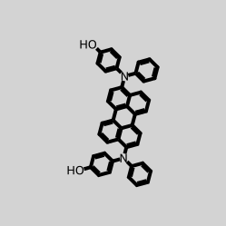 Oc1ccc(N(c2ccccc2)c2ccc3c4cccc5c(N(c6ccccc6)c6ccc(O)cc6)ccc(c6cccc2c63)c54)cc1